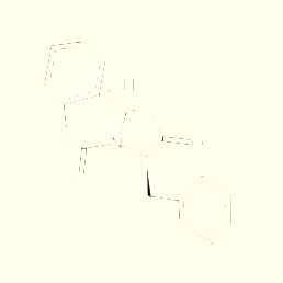 O=C1O[C@@H]2c3ccccc3OC(=O)N2[C@@H]1Cc1ccccc1